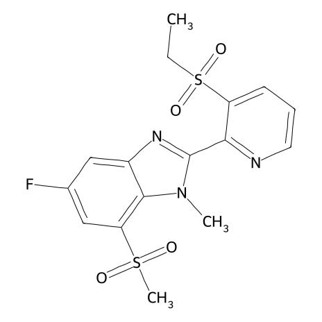 CCS(=O)(=O)c1cccnc1-c1nc2cc(F)cc(S(C)(=O)=O)c2n1C